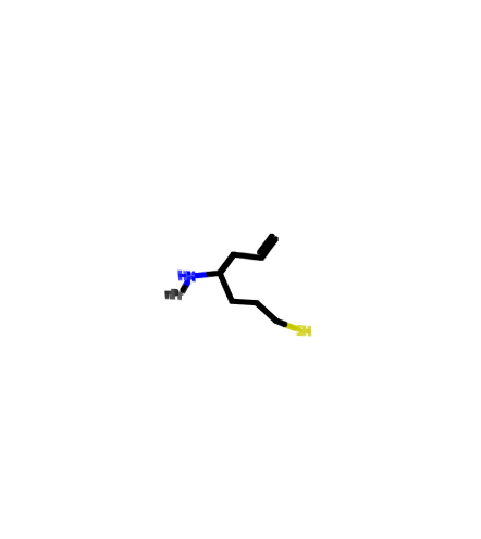 C=CCC(CCCS)NCCC